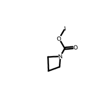 O=C(OI)N1CCC1